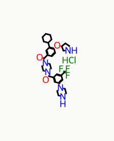 Cl.O=C(c1cc(N2CCNCC2)cc(C(F)(F)F)c1)N1CCN(C(=O)c2ccc(O[C@H]3CCNC3)c(C3CCCCC3)c2)CC1